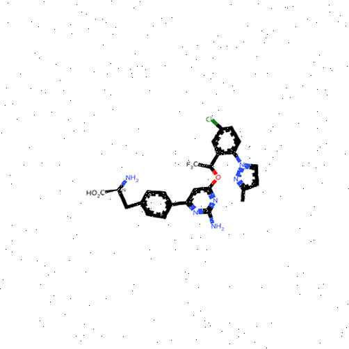 Cc1ccn(-c2ccc(Cl)cc2C(Oc2cc(-c3ccc(C[C@H](N)C(=O)O)cc3)nc(N)n2)C(F)(F)F)n1